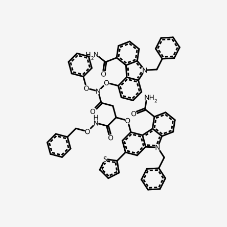 NC(=O)c1cccc2c1c1c(OC(CC(=O)N(Oc3ccccc3)Oc3cccc4c3c3c(C(N)=O)cccc3n4Cc3ccccc3)C(=O)NOCc3ccccc3)cc(-c3cccs3)cc1n2Cc1ccccc1